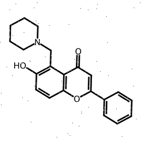 O=c1cc(-c2ccccc2)oc2ccc(O)c(CN3CCCCC3)c12